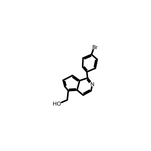 OCc1cccc2c(-c3ccc(Br)cc3)nccc12